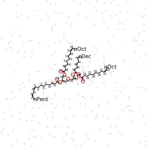 CCCCC/C=C\C/C=C\CCCCCCCC(=O)OC(COCC(COC(=O)CCCCCCC/C=C\CCCCCCCC)OC(=O)CCCCCCCCCCCCCCC)COC(=O)CCCCCCC/C=C\CCCCCCCC